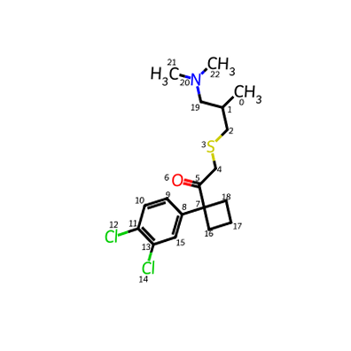 CC(CSCC(=O)C1(c2ccc(Cl)c(Cl)c2)CCC1)CN(C)C